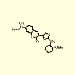 COc1ccccc1Nc1nc(-c2cc3ccc(N(C)CC(C)C)cc3oc2=O)cs1